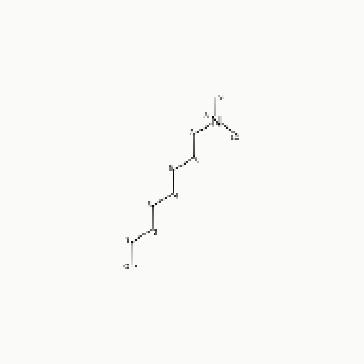 [CH2]CCCCCCCN(C)C